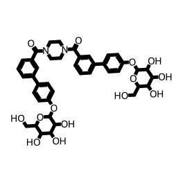 O=C(c1cccc(-c2ccc(OC3OC(CO)C(O)C(O)C3O)cc2)c1)N1CCN(C(=O)c2cccc(-c3ccc(OC4OC(CO)C(O)C(O)C4O)cc3)c2)CC1